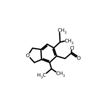 CC(C)c1cc2c(c(C(C)C)c1CC(=O)Cl)COC2